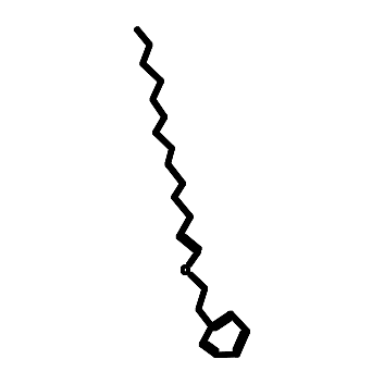 CCCCCCCCCCCCC=COCCc1ccccc1